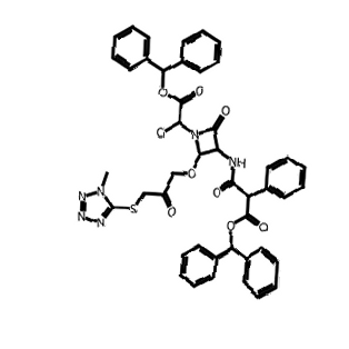 Cn1nnnc1SCC(=O)COC1C(NC(=O)C(C(=O)OC(c2ccccc2)c2ccccc2)c2ccccc2)C(=O)N1C(Cl)C(=O)OC(c1ccccc1)c1ccccc1